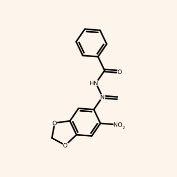 C=[N+](NC(=O)c1ccccc1)c1cc2c(cc1[N+](=O)[O-])OCO2